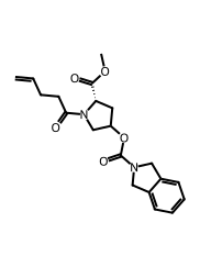 C=CCCC(=O)N1CC(OC(=O)N2Cc3ccccc3C2)C[C@H]1C(=O)OC